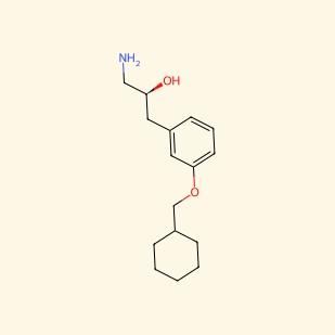 NC[C@@H](O)Cc1cccc(OCC2CCCCC2)c1